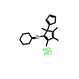 CC1=C(C)C(C)(C2=CC=CC2)[C]([Zr]=[C]2CCCCC2)=C1C.Cl.Cl